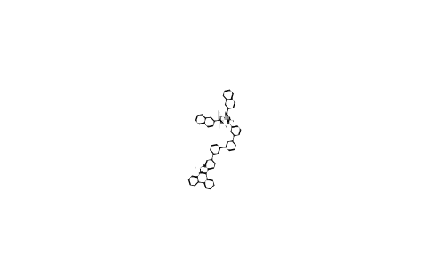 c1cc(-c2cccc(-c3ccc4c(c3)oc3c5ccccc5c5ccccc5c43)c2)cc(-c2cccc(-c3nc(-c4ccc5ccccc5c4)nc(-c4ccc5ccccc5c4)n3)c2)c1